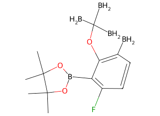 Bc1ccc(F)c(B2OC(C)(C)C(C)(C)O2)c1OC(B)(B)B